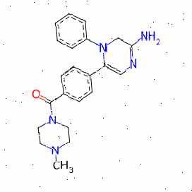 CN1CCN(C(=O)c2ccc(C3=CN=C(N)CN3c3ccccc3)cc2)CC1